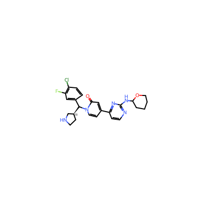 O=c1cc(-c2ccnc(NC3CCCCO3)n2)ccn1C(c1ccc(Cl)c(F)c1)[C@H]1CCNC1